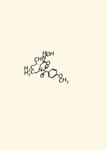 CCN([C@@H](C(=O)NO)C(C)C)S(=O)(=O)c1ccc(OC)cc1